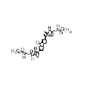 COC(=O)NCCC(=O)Pc1ncc(-c2ccc3c(c2)C(=O)c2cc(-c4cnc(PC(=O)CCNC(=O)OC)[nH]4)ccc2-3)[nH]1